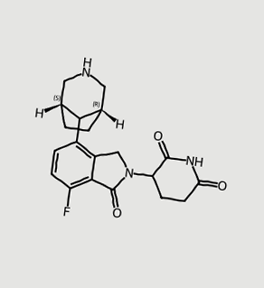 O=C1CCC(N2Cc3c(C4[C@@H]5CC[C@H]4CNC5)ccc(F)c3C2=O)C(=O)N1